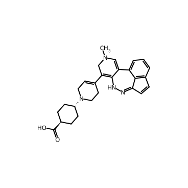 CN1C=C2C(=C(C3=CCN([C@H]4CC[C@H](C(=O)O)CC4)CC3)C1)NN=C1C=Cc3cccc2c31